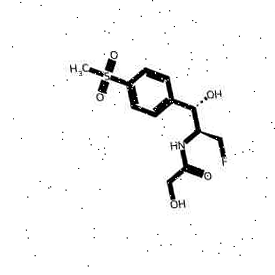 CS(=O)(=O)c1ccc([C@H](O)[C@@H](CF)NC(=O)CO)cc1